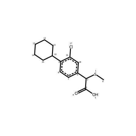 CSC(C(=O)O)c1ccc(C2CCCCC2)c(Cl)c1